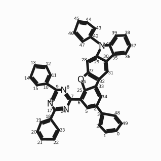 c1ccc(-c2cc(-c3nc(-c4ccccc4)nc(-c4ccccc4)n3)c3oc4cc5c(cc4c3c2)c2ccccc2n5-c2ccccc2)cc1